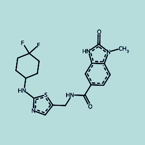 Cn1c(=O)[nH]c2cc(C(=O)NCc3cnc(NC4CCC(F)(F)CC4)s3)ccc21